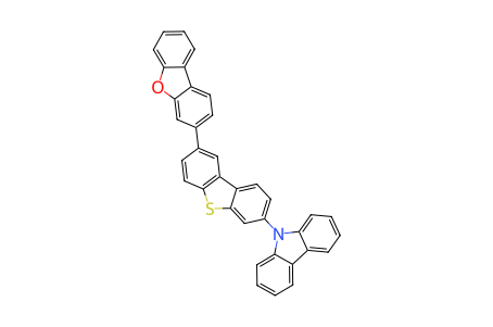 c1ccc2c(c1)oc1cc(-c3ccc4sc5cc(-n6c7ccccc7c7ccccc76)ccc5c4c3)ccc12